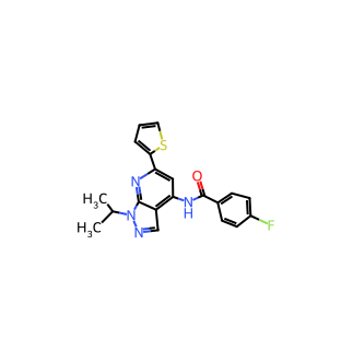 CC(C)n1ncc2c(NC(=O)c3ccc(F)cc3)cc(-c3cccs3)nc21